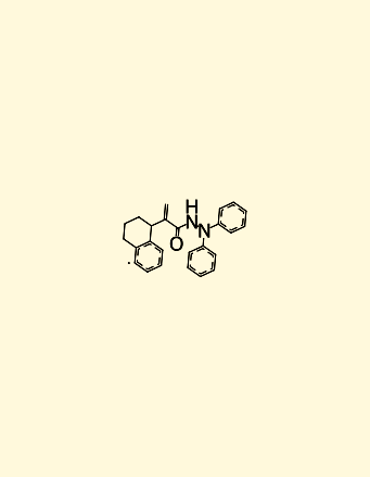 C=C(C(=O)NN(c1ccccc1)c1ccccc1)C1CCCc2[c]cccc21